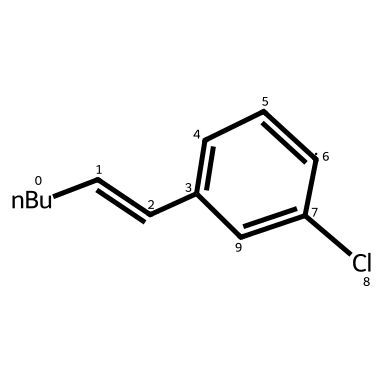 CCCCC=Cc1cc[c]c(Cl)c1